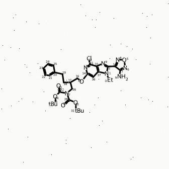 CCn1c(-c2nonc2N)nc2c(Cl)nc(OCC(CCc3ccccc3)CN(C(=O)OC(C)(C)C)C(=O)OC(C)(C)C)cc21